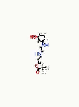 CCC1(CC)CC(CCNCCNc2cccc(O)c2)OC1=O